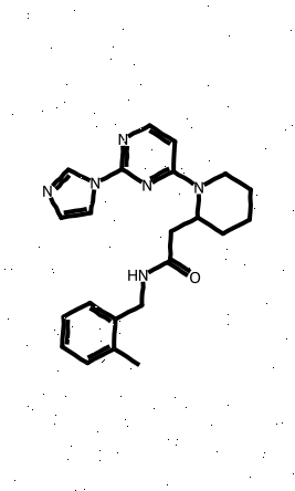 Cc1ccccc1CNC(=O)CC1CCCCN1c1ccnc(-n2ccnc2)n1